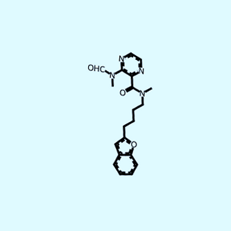 CN(CCCCc1cc2ccccc2o1)C(=O)c1nccnc1N(C)C=O